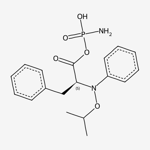 CC(C)ON(c1ccccc1)[C@@H](Cc1ccccc1)C(=O)OP(N)(=O)O